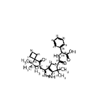 CC1(C)c2[nH]nc(NC(=O)C3(S(C)(C)C)CCC3)c2CN1C(=O)N[C@H](C(=O)O)c1ccccc1